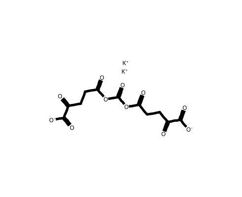 O=C(CCC(=O)C(=O)[O-])OC(=O)OC(=O)CCC(=O)C(=O)[O-].[K+].[K+]